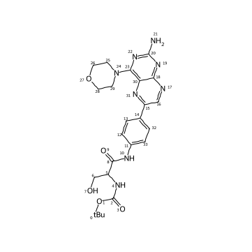 CC(C)(C)OC(=O)NC(CO)C(=O)Nc1ccc(-c2cnc3nc(N)nc(N4CCOCC4)c3n2)cc1